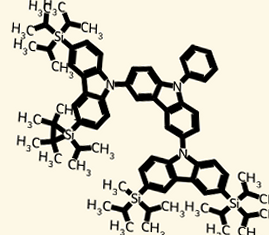 CC(C)[Si](C)(c1ccc2c(c1)c1cc([Si](C(C)C)(C(C)C)C(C)C)ccc1n2-c1ccc2c(c1)c1cc(-n3c4ccc([Si](C(C)C)(C(C)C)C(C)C)cc4c4cc([Si]5(C(C)C)C(C)(C)C5(C)C)ccc43)ccc1n2-c1ccccc1)C(C)C